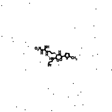 Cc1ccc(C(=O)N[C@@H](CCCNC(=N)N[N+](=O)[O-])C(=O)NCCC(C)C)s1